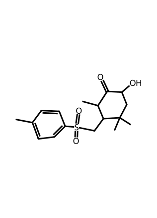 Cc1ccc(S(=O)(=O)CC2C(C)C(=O)C(O)CC2(C)C)cc1